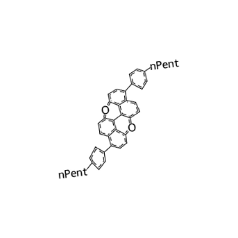 CCCCCc1ccc(-c2ccc3oc4ccc5c(-c6ccc(CCCCC)cc6)ccc6oc7ccc2c3c7-c4c65)cc1